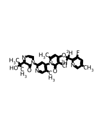 [2H]C([2H])(Oc1cc(C)n(-c2cc(-n3ccnc(C(C)(C)O)c3=O)ncc2C)c(=O)c1Cl)c1ncc(C)cc1F